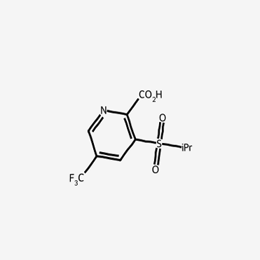 CC(C)S(=O)(=O)c1cc(C(F)(F)F)cnc1C(=O)O